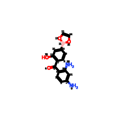 Nc1ccc(C(=O)c2ccc(B3OC=CO3)cc2O)c(N)c1